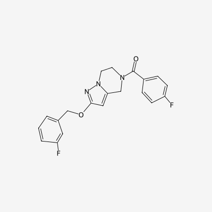 O=C(c1ccc(F)cc1)N1CCn2nc(OCc3cccc(F)c3)cc2C1